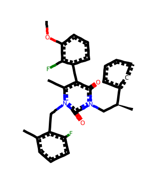 COc1cccc(-c2c(C)n(Cc3c(C)cccc3F)c(=O)n(C[C@H](C)c3ccccc3)c2=O)c1F